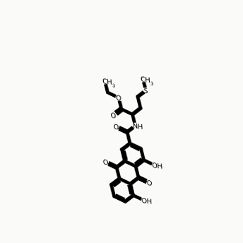 CCOC(=O)C(CCSC)NC(=O)c1cc(O)c2c(c1)C(=O)c1cccc(O)c1C2=O